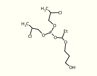 CCC(OCCCO)OP(OCC(C)Cl)OCC(C)Cl